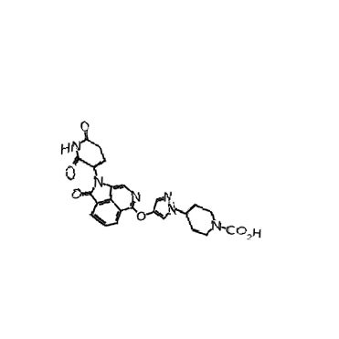 O=C1CCC(N2C(=O)c3cccc4c(Oc5cnn(C6CCN(C(=O)O)CC6)c5)ncc2c34)C(=O)N1